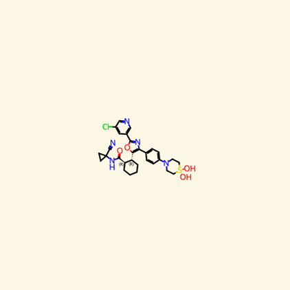 N#CC1(NC(=O)[C@@H]2CCCC[C@H]2c2oc(-c3cncc(Cl)c3)nc2-c2ccc(N3CCS(O)(O)CC3)cc2)CC1